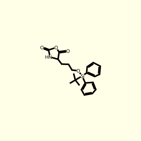 CC(C)(C)[Si](OCCCC1NC(=O)OC1=O)(c1ccccc1)c1ccccc1